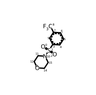 O=S(=O)(c1cc[c]c(C(F)(F)F)c1)N1CCOCC1